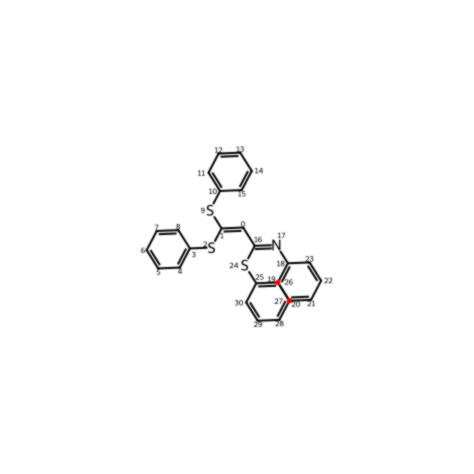 C(=C(Sc1ccccc1)Sc1ccccc1)/C(=N/c1ccccc1)Sc1ccccc1